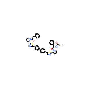 CCCC(=O)N[C@H](C(=O)N1CCC[C@H]1c1ncc(-c2ccc(-c3ccc(-c4cnc([C@@H]5CCCN5C(=O)Cc5ccccc5)s4)cc3)cc2)s1)c1ccccc1